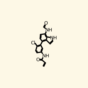 C=CC(=O)Nc1ccc(Cl)c(-c2ccc(NC=O)c3[nH]ccc23)c1